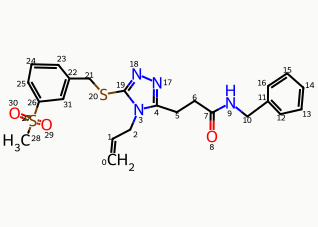 C=CCn1c(CCC(=O)NCc2ccccc2)nnc1SCc1cccc(S(C)(=O)=O)c1